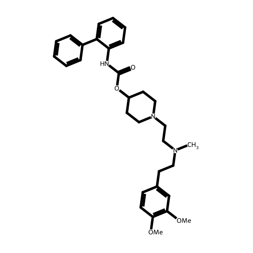 COc1ccc(CCN(C)CCN2CCC(OC(=O)Nc3ccccc3-c3ccccc3)CC2)cc1OC